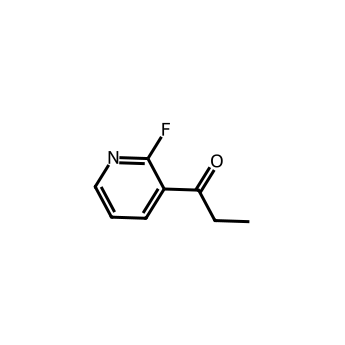 CCC(=O)c1cccnc1F